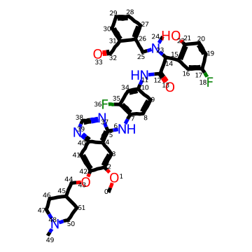 COc1cc2c(Nc3ccc(NC(=O)C(c4cc(F)ccc4O)N(C)Cc4ccccc4C=O)cc3F)ncnc2cc1OCC1CCN(C)CC1